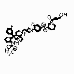 COC(=O)N[C@H]1CCC[C@@H]1[C@](CN1CCC1)(c1cccc(F)c1)C1CCN(CC2(F)CN(c3ccc(S(=O)(=O)[C@H]4CCCN(C(=O)C#CCO)C4)cc3F)C2)CC1